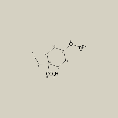 CCCOC1CCC(CI)(C(=O)O)CC1